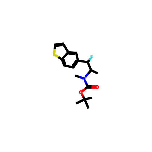 CC(C(F)c1ccc2sccc2c1)N(C)C(=O)OC(C)(C)C